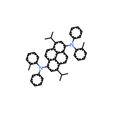 Cc1ccccc1N(c1ccccc1)c1cc(C(C)C)c2ccc3c(N(c4ccccc4)c4ccccc4C)cc(C(C)C)c4ccc1c2c43